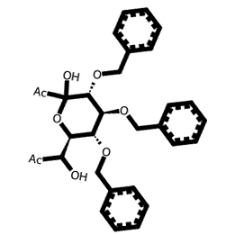 CC(=O)C(O)[C@H]1OC(O)(C(C)=O)[C@H](OCc2ccccc2)[C@@H](OCc2ccccc2)[C@@H]1OCc1ccccc1